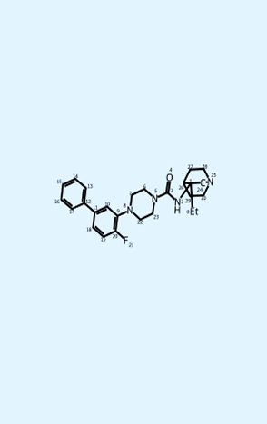 CCC1(NC(=O)N2CCN(c3cc(-c4ccccc4)ccc3F)CC2)CN2CCC1CC2